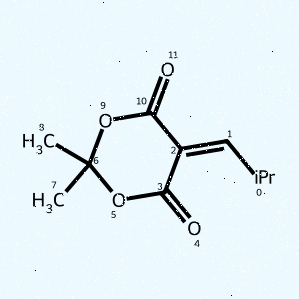 CC(C)C=C1C(=O)OC(C)(C)OC1=O